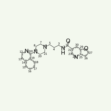 O=C(NCCCN1CCN(c2nccc3ccccc23)CC1)c1cnc2ccoc2c1